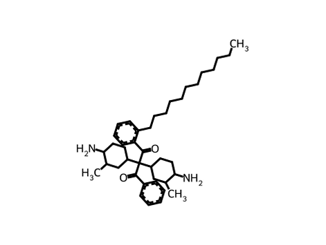 CCCCCCCCCCCCc1ccccc1C(=O)C(C(=O)c1ccccc1)(C1CCC(N)C(C)C1)C1CCC(N)C(C)C1